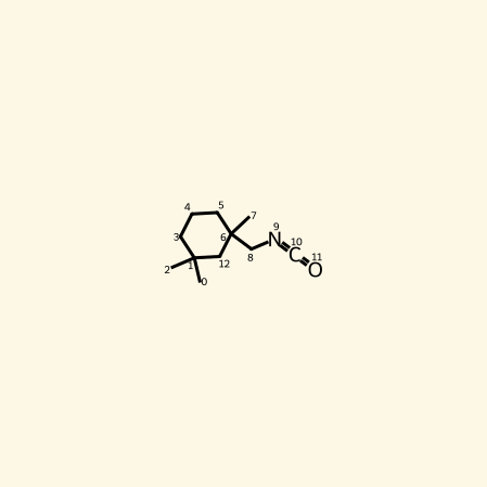 CC1(C)CCCC(C)(CN=C=O)C1